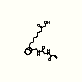 C=CC(=O)NCC(=O)NCC1C2CCC(O2)C1CCCCCCC(=O)CO